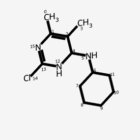 CC1=C(C)C(NC2CCCCC2)NC(Cl)=N1